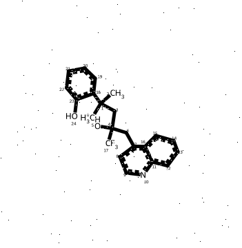 CC(C)(CC(O)(Cc1ccnc2ccccc12)C(F)(F)F)c1ccccc1O